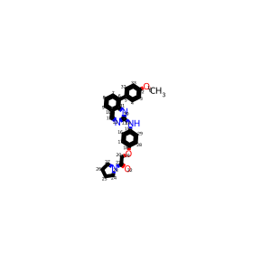 COc1ccc(-c2cccc3cnc(Nc4ccc(OCC(=O)N5CCCC5)cc4)nc23)cc1